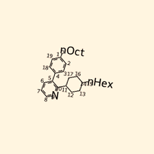 CCCCCCCCc1ccc(-c2cccnc2C2CCC(CCCCCC)CC2)cc1